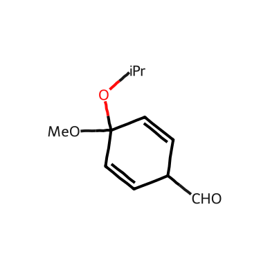 COC1(OC(C)C)C=CC(C=O)C=C1